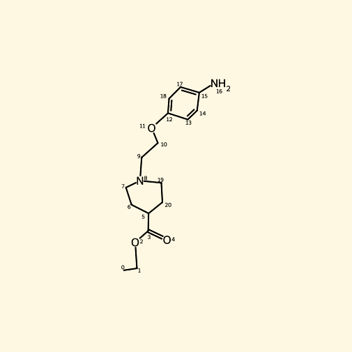 CCOC(=O)C1CCN(CCOc2ccc(N)cc2)CC1